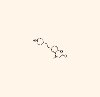 CN1CC(=O)Oc2ccc(CCC3CCNCC3)cc21